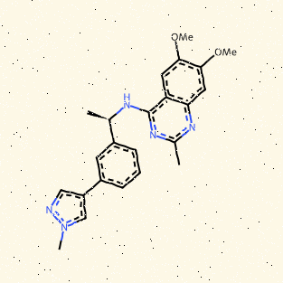 COc1cc2nc(C)nc(N[C@H](C)c3cccc(-c4cnn(C)c4)c3)c2cc1OC